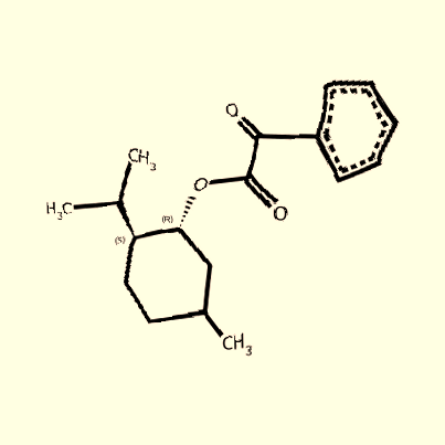 CC1CC[C@@H](C(C)C)[C@H](OC(=O)C(=O)c2ccccc2)C1